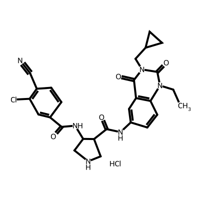 CCn1c(=O)n(CC2CC2)c(=O)c2cc(NC(=O)C3CNCC3NC(=O)c3ccc(C#N)c(Cl)c3)ccc21.Cl